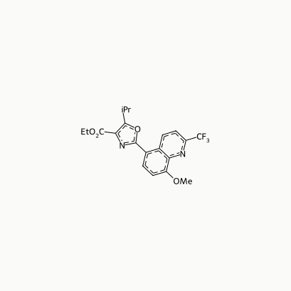 CCOC(=O)c1nc(-c2ccc(OC)c3nc(C(F)(F)F)ccc23)oc1C(C)C